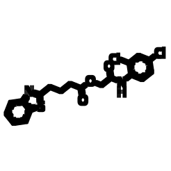 O=C(COC(=O)CCCc1nc2ccccc2s1)Nc1ccc(Cl)cc1Cl